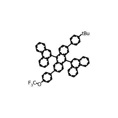 CC(C)(C)c1ccc(-c2ccc3c(-c4cc5ccccc5c5ccccc45)c4cc(-c5ccc(OC(F)(F)F)cc5)ccc4c(-c4cc5ccccc5c5ccccc45)c3c2)cc1